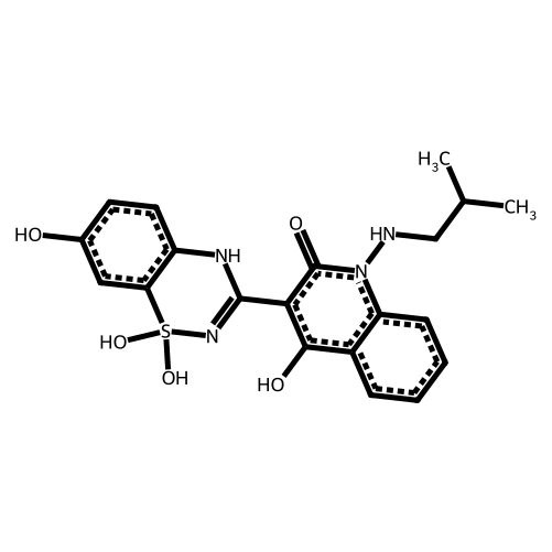 CC(C)CNn1c(=O)c(C2=NS(O)(O)c3cc(O)ccc3N2)c(O)c2ccccc21